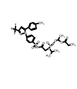 CCC(=O)OC(C)ON=[N+]([O-])N(CC(=O)NS(=O)(=O)c1ccc(-n2nc(C(F)(F)F)cc2-c2ccc(C)cc2)cc1)C(C)C